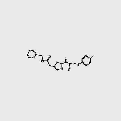 Cc1ccc(SCC(=O)NC2=NN=C(CC(=O)NCc3ccccc3)C2)cc1